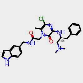 Cc1c(Cl)nc(N[C@@H](Cc2ccccc2)CN(C)C)c(=O)n1CC(=O)NCc1ccc2[nH]ccc2c1